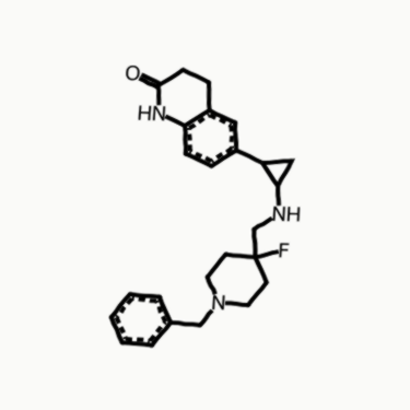 O=C1CCc2cc(C3CC3NCC3(F)CCN(Cc4ccccc4)CC3)ccc2N1